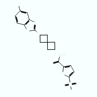 CS(=N)(=O)c1ccc(C(=O)N[C@H]2CC3(C2)C[C@H](c2nc4cc(Cl)ccc4o2)C3)o1